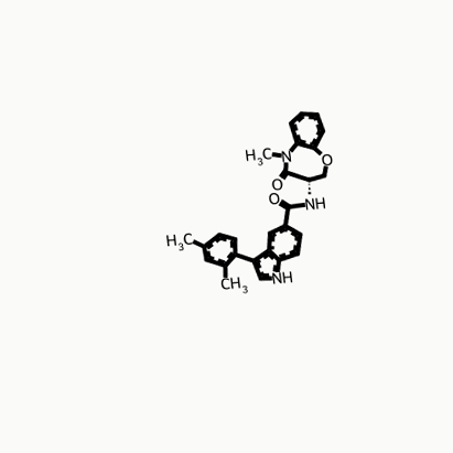 Cc1ccc(-c2c[nH]c3ccc(C(=O)N[C@H]4COc5ccccc5N(C)C4=O)cc23)c(C)c1